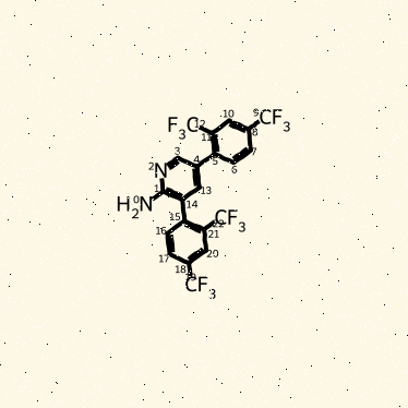 Nc1ncc(-c2ccc(C(F)(F)F)cc2C(F)(F)F)cc1-c1ccc(C(F)(F)F)cc1C(F)(F)F